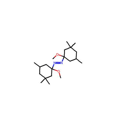 COC1(N=NC2(OC)CC(C)CC(C)(C)C2)CC(C)CC(C)(C)C1